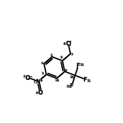 O=[N+]([O-])c1ccc(CCl)c(C(F)(F)F)c1